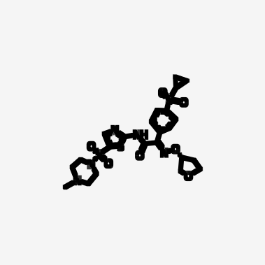 CN1CCN(S(=O)(=O)c2cnc(NC(=O)/C(=N/O[C@@H]3CCOC3)c3ccc(S(=O)(=O)C4CC4)cc3)s2)CC1